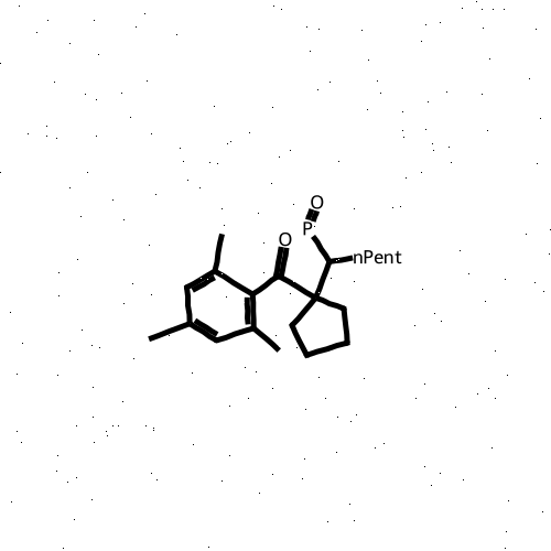 CCCCCC(P=O)C1(C(=O)c2c(C)cc(C)cc2C)CCCC1